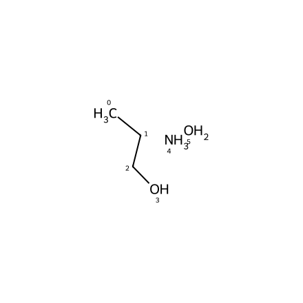 CCCO.N.O